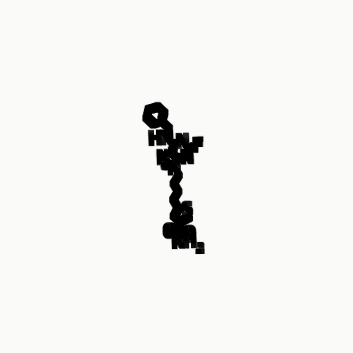 NS(=O)(=O)c1csc(CCCCn2cnc3c(NCc4ccccc4)nc(F)nc32)c1